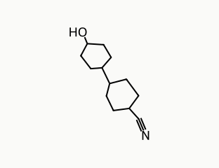 N#CC1CCC(C2CCC(O)CC2)CC1